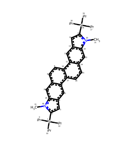 CC(C)[Si](c1cc2cc3c(ccc4c5cc6cc([Si](C(C)C)(C(C)C)C(C)C)n(C)c6cc5ccc34)cc2n1C)(C(C)C)C(C)C